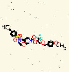 C#Cc1ccc(S(=O)(=O)N2CCOC3(CCN(C(=O)OC(COCc4ccc(OC)cc4)C(F)(F)F)CC3)C2)cc1